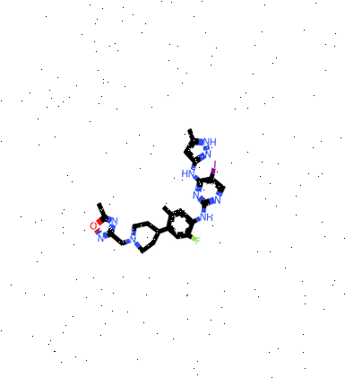 Cc1cc(Nc2nc(Nc3cc(C)c(C4CCN(Cc5noc(C)n5)CC4)cc3F)ncc2I)n[nH]1